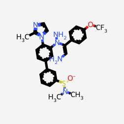 Cc1nccn1-c1ccc(-c2cccc([S+]([O-])N(C)C)c2)cc1N(N)/C(=C\N)c1ccc(OC(F)(F)F)cc1